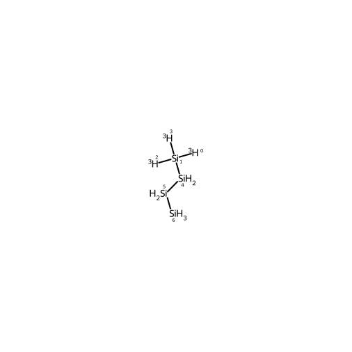 [3H][Si]([3H])([3H])[SiH2][SiH2][SiH3]